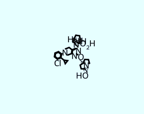 O=C(O)N1[C@@H]2CC[C@H]1CN(c1nc(OC[C@]34CCCN3[C@@H](CO)CC4)nc3c1CCN(c1cccc(Cl)c1C1CC1)C3)C2